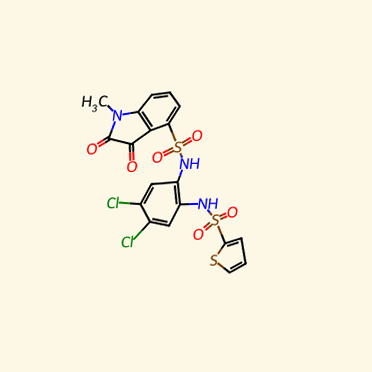 CN1C(=O)C(=O)c2c1cccc2S(=O)(=O)Nc1cc(Cl)c(Cl)cc1NS(=O)(=O)c1cccs1